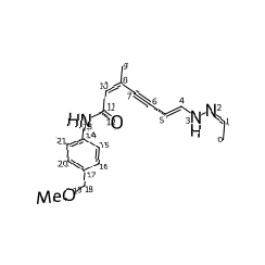 C/C=N\N/C=C/C#C/C(C)=C\C(=O)Nc1ccc(COC)cc1